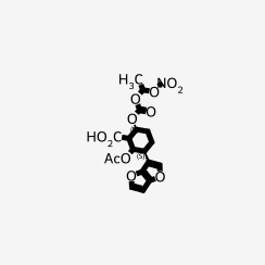 CC(=O)OC1C(C(=O)O)[C@H](OC(=O)OC(C)O[N+](=O)[O-])CC[C@H]1c1coc2ccoc12